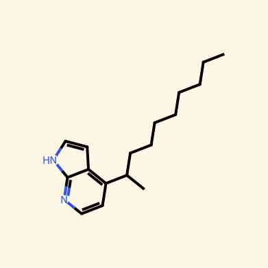 CCCCCCCCC(C)c1ccnc2[nH]ccc12